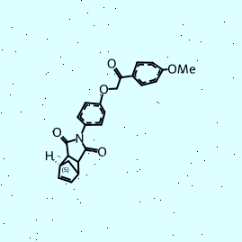 COc1ccc(C(=O)COc2ccc(N3C(=O)C4C5C=C[C@H](C5)C4C3=O)cc2)cc1